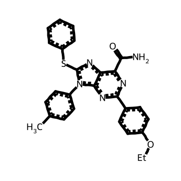 CCOc1ccc(-c2nc(C(N)=O)c3nc(Sc4ccccc4)n(-c4ccc(C)cc4)c3n2)cc1